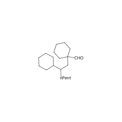 CCCCCC(CC1(C=O)CCCCC1)C1CCCCC1